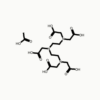 O=C(O)CN(CCN(CC(=O)O)CC(=O)O)CCN(CC(=O)O)CC(=O)O.[CH2]C(=O)O